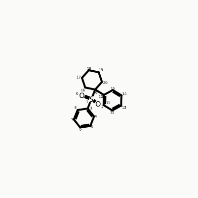 O=S(=O)(c1ccccc1)C1(c2ccccc2)CCCCC1